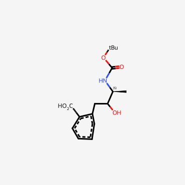 C[C@H](NC(=O)OC(C)(C)C)C(O)Cc1ccccc1C(=O)O